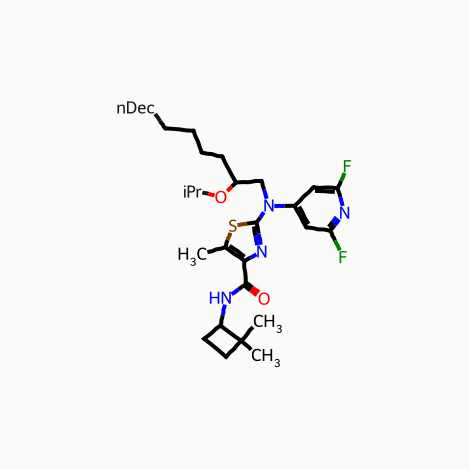 CCCCCCCCCCCCCCC(CN(c1cc(F)nc(F)c1)c1nc(C(=O)NC2CCC2(C)C)c(C)s1)OC(C)C